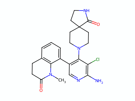 CN1C(=O)CCc2cccc(-c3cnc(N)c(Cl)c3N3CCC4(CCNC4=O)CC3)c21